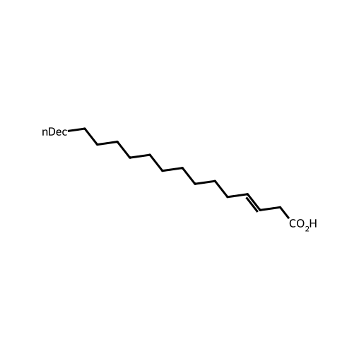 CCCCCCCCCCCCCCCCCCCCC=CCC(=O)O